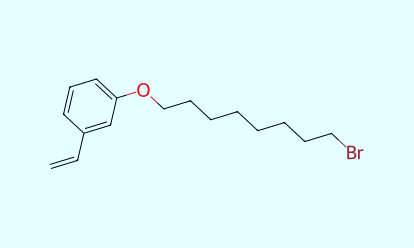 C=Cc1cccc(OCCCCCCCCBr)c1